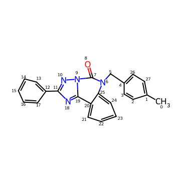 Cc1ccc(Cn2c(=O)n3nc(-c4ccccc4)nc3c3ccccc32)cc1